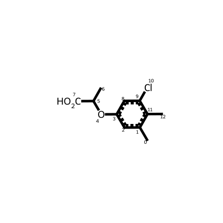 Cc1cc(OC(C)C(=O)O)cc(Cl)c1C